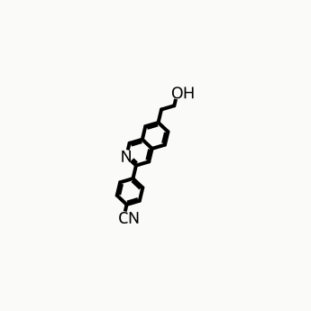 N#Cc1ccc(-c2cc3ccc(CCO)cc3cn2)cc1